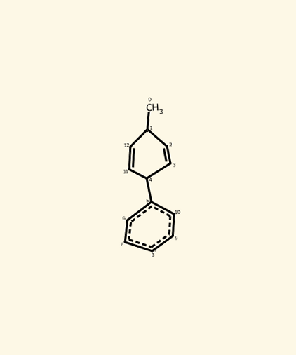 C[C]1C=CC(c2cc[c]cc2)C=C1